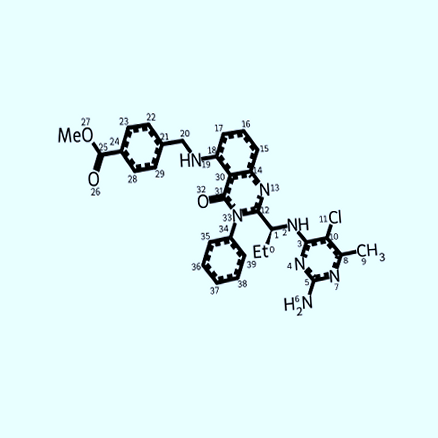 CC[C@H](Nc1nc(N)nc(C)c1Cl)c1nc2cccc(NCc3ccc(C(=O)OC)cc3)c2c(=O)n1-c1ccccc1